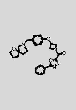 O=C(c1nnc(-c2ccccc2)o1)N1CC(Oc2ccc(CN3CCC4(CCCO4)C3)cc2)C1